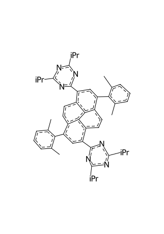 Cc1cccc(C)c1-c1cc(-c2nc(C(C)C)nc(C(C)C)n2)c2ccc3c(-c4c(C)cccc4C)cc(-c4nc(C(C)C)nc(C(C)C)n4)c4ccc1c2c43